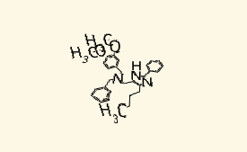 CCCCc1nc(-c2ccccc2)[nH]c1CN(Cc1ccccc1)Cc1ccc(OC)c(OC)c1